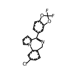 FC1(F)Oc2ccc(C3=NCc4ccc(Cl)cc4-n4cccc43)cc2O1